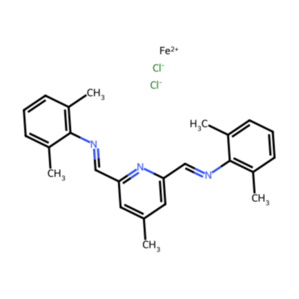 Cc1cc(C=Nc2c(C)cccc2C)nc(C=Nc2c(C)cccc2C)c1.[Cl-].[Cl-].[Fe+2]